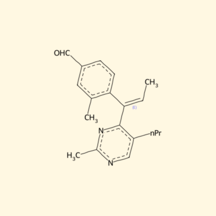 C/C=C(\c1ccc(C=O)cc1C)c1nc(C)ncc1CCC